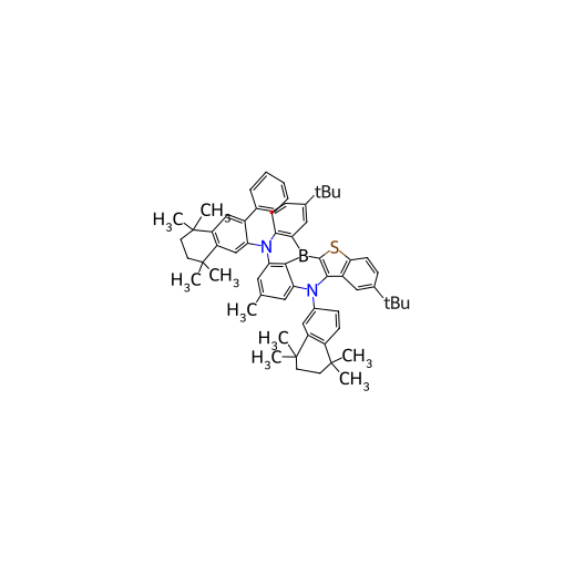 Cc1cc2c3c(c1)N(c1ccc4c(c1)C(C)(C)CCC4(C)C)c1c(sc4ccc(C(C)(C)C)cc14)B3c1cc(C(C)(C)C)ccc1N2c1cc2c(cc1-c1ccccc1)C(C)(C)CCC2(C)C